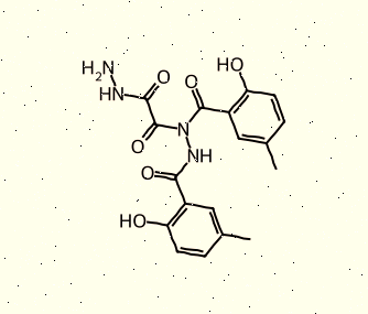 Cc1ccc(O)c(C(=O)NN(C(=O)C(=O)NN)C(=O)c2cc(C)ccc2O)c1